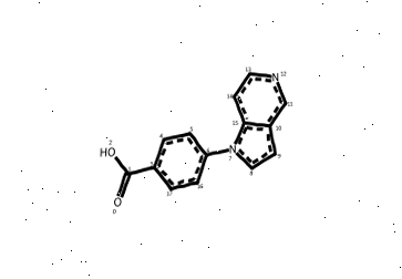 O=C(O)c1ccc(-n2ccc3cnccc32)cc1